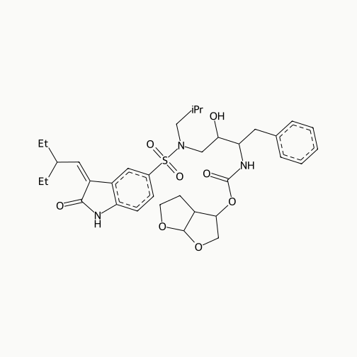 CCC(C=C1C(=O)Nc2ccc(S(=O)(=O)N(CC(C)C)CC(O)C(Cc3ccccc3)NC(=O)OC3COC4OCCC34)cc21)CC